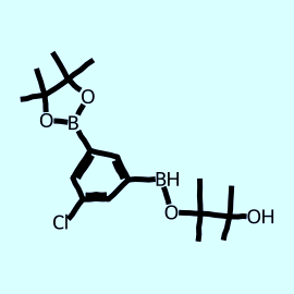 CC(C)(O)C(C)(C)OBc1cc(Cl)cc(B2OC(C)(C)C(C)(C)O2)c1